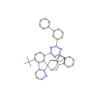 CC(C)(C)c1ccc(-c2nc(-c3ccccc3)nc(-c3cccc(-c4ccccc4)c3)n2)c2c1-c1cccnc1C21C2CC3CC4CC1C3C4C2